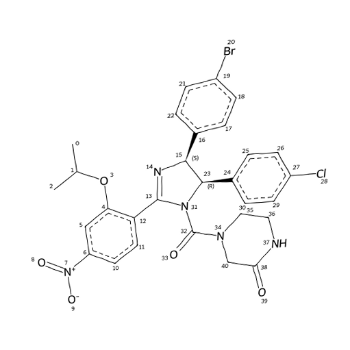 CC(C)Oc1cc([N+](=O)[O-])ccc1C1=N[C@@H](c2ccc(Br)cc2)[C@@H](c2ccc(Cl)cc2)N1C(=O)N1CCNC(=O)C1